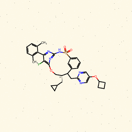 Cc1cccc(C)c1-c1nc2nc(c1F)OC[C@@H](CC1CC1)C(Cc1ncc(OC3CCC3)cn1)c1cccc(c1)S(=O)(=O)N2